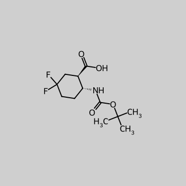 CC(C)(C)OC(=O)N[C@@H]1CCC(F)(F)C[C@H]1C(=O)O